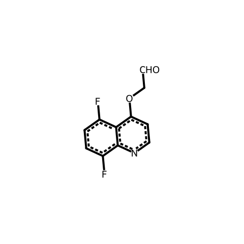 O=CCOc1ccnc2c(F)ccc(F)c12